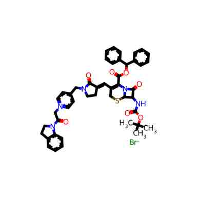 CC(C)(C)OC(=O)NC1C(=O)N2C(C(=O)OC(c3ccccc3)c3ccccc3)=C(C=C3CCN(Cc4cc[n+](CC(=O)N5CCc6ccccc65)cc4)C3=O)CSC12.[Br-]